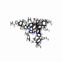 Cc1cc(C)c(-c2ccc3c(c2)c2ccc(-c4c(C)cc(C)cc4C)cc2n3-c2cc(C#N)cc(-n3c4ccc(-c5c(C)cc(C)cc5C)cc4c4ccc(-c5c(C)cc(C)cc5C)cc43)c2-c2c(F)cccc2F)c(C)c1